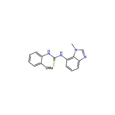 COc1ccccc1NC(=S)Nc1cccc2ncn(C)c12